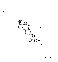 O=C(O)Oc1ccc(N2CCC(Br)C2=O)c(F)c1